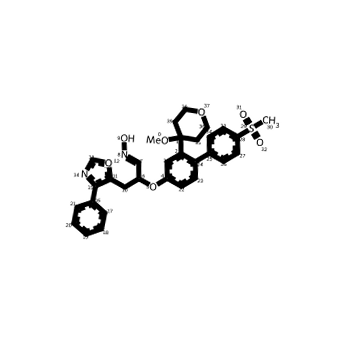 COC1(c2cc(OC(/C=N/O)Cc3ocnc3-c3ccccc3)ccc2-c2ccc(S(C)(=O)=O)cc2)CCOCC1